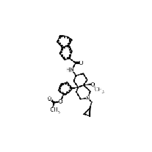 COC12CCC(NC(=O)c3ccc4ccccc4c3)CC1(c1cccc(OC(C)=O)c1)CCN(CC1CC1)C2